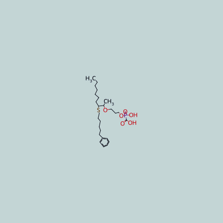 CCCCCCCC(SCCCCCCc1ccccc1)C(C)OCCCOP(=O)(O)C(=O)O